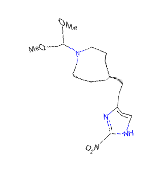 COC(OC)N1CCC(Cc2c[nH]c([N+](=O)[O-])n2)CC1